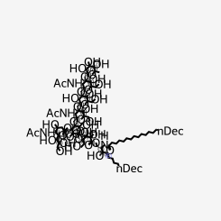 CCCCCCCCCCCCC/C=C/[C@@H](O)[C@H](CO[C@@H]1OC(CO)[C@@H](O[C@@H]2OC(CO)[C@H](O[C@@H]3OC(CO)[C@H](O)[C@H](O[C@@H]4OC(CO)[C@H](O)[C@H](O[C@@H]5OC(CO)[C@@H](O)[C@H](O[C@H]6OC(C)[C@@H](O)C(O)[C@@H]6O)C5NC(C)=O)C4O)C3NC(C)=O)[C@H](O[C@]3(C(=O)O)CC(O)[C@@H](NC(C)=O)C([C@H](O)[C@H](O)CO)O3)C2O)[C@H](O)C1O)NC(=O)CCCCCCCCCCCCCCCCCCCCCCC